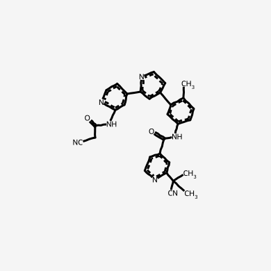 Cc1ccc(NC(=O)c2ccnc(C(C)(C)C#N)c2)cc1-c1ccnc(-c2ccnc(NC(=O)CC#N)c2)c1